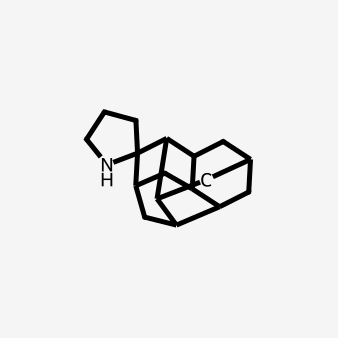 C1CNC2(C1)C1CC3C4CC5CC3C2C(C5)C4C1